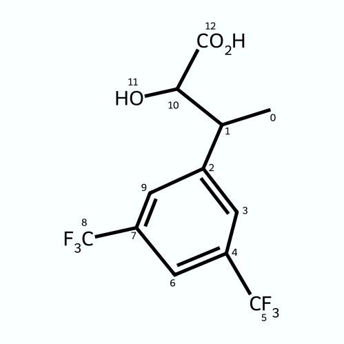 CC(c1cc(C(F)(F)F)cc(C(F)(F)F)c1)C(O)C(=O)O